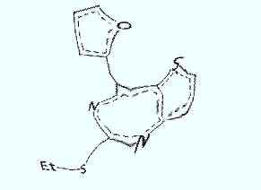 CCSc1nc(-c2ccco2)c2sccc2n1